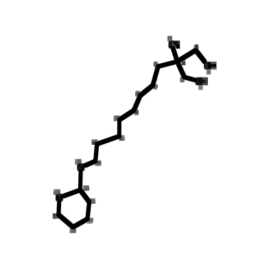 N#CC(CO)(CO)CCCCCCCCOC1CCCCO1